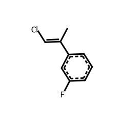 CC(=CCl)c1cccc(F)c1